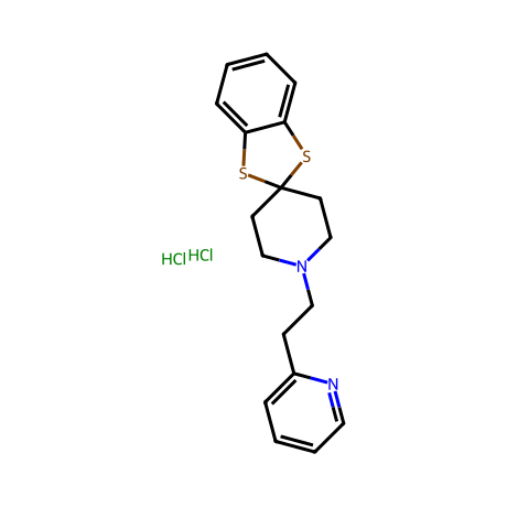 Cl.Cl.c1ccc(CCN2CCC3(CC2)Sc2ccccc2S3)nc1